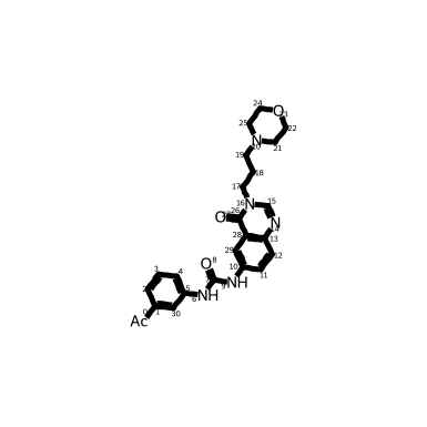 CC(=O)c1cccc(NC(=O)Nc2ccc3ncn(CCCN4CCOCC4)c(=O)c3c2)c1